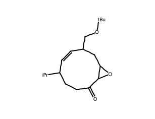 CC(C)C1C=CC(COC(C)(C)C)CC2OC2C(=O)CC1